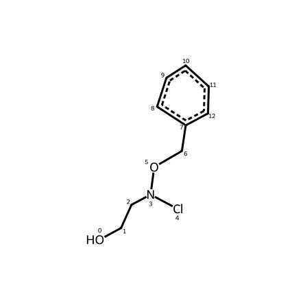 OCCN(Cl)OCc1ccccc1